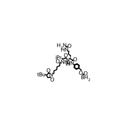 BC(=O)OCc1ccc(NC(=O)[C@H](CCCNC(N)=O)NC(=O)C(NC(=O)CCCCCN2C(=O)CC(C(C)(C)C)C2=O)C(C)C)cc1